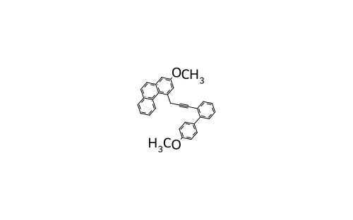 COc1ccc(-c2ccccc2C#CCc2cc(OC)cc3ccc4ccccc4c23)cc1